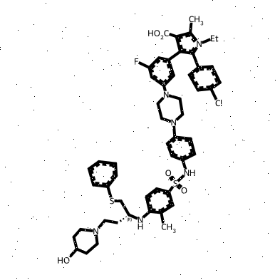 CCn1c(C)c(C(=O)O)c(-c2cc(F)cc(N3CCN(c4ccc(NS(=O)(=O)c5ccc(N[C@H](CCN6CCC(O)CC6)CSc6ccccc6)c(C)c5)cc4)CC3)c2)c1-c1ccc(Cl)cc1